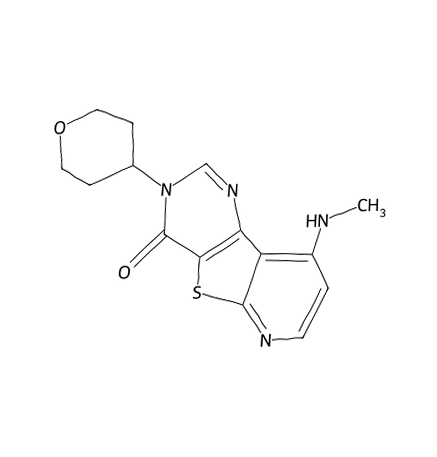 CNc1ccnc2sc3c(=O)n(C4CCOCC4)cnc3c12